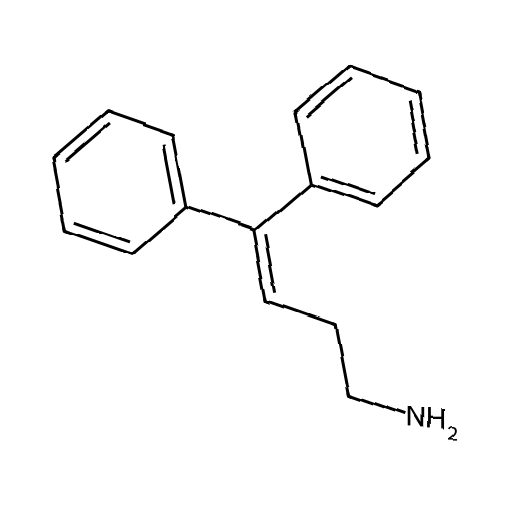 NCCC=C(c1ccccc1)c1ccccc1